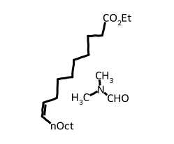 CCCCCCCC/C=C\CCCCCCCC(=O)OCC.CN(C)C=O